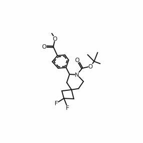 COC(=O)c1ccc(C2CC3(CCN2C(=O)OC(C)(C)C)CC(F)(F)C3)cc1